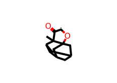 CC12C(=O)[CH]OC13CC1CC(CC2C1)C3